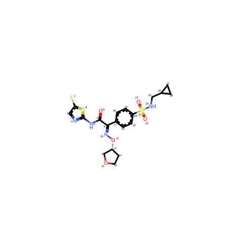 O=C(Nc1ncc(F)s1)/C(=N/O[C@@H]1CCOC1)c1ccc(S(=O)(=O)NCC2CC2)cc1